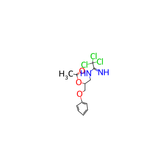 CC(=O)OC(CNC(=N)C(Cl)(Cl)Cl)COc1ccccc1